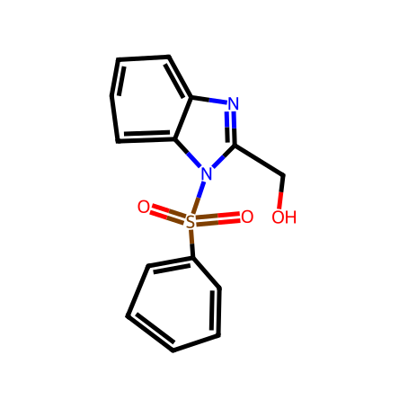 O=S(=O)(c1ccccc1)n1c(CO)nc2ccccc21